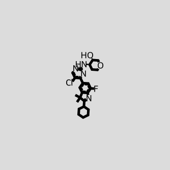 CC1(C)C(C2CCCCC2)=Nc2c(F)cc(-c3nc(N[C@@H]4CCOC[C@H]4O)ncc3Cl)cc21